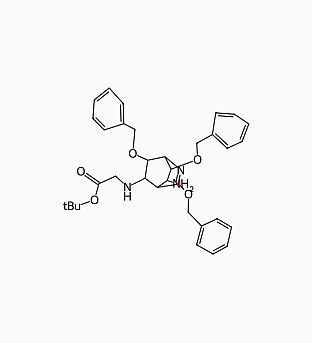 CC(C)(C)OC(=O)CNC1C(OCc2ccccc2)C2N=C(OCc3ccccc3)C1C(N)C2OCc1ccccc1